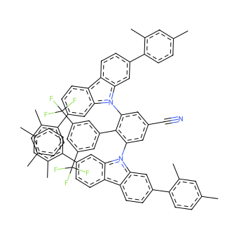 Cc1ccc(-c2ccc3c4ccc(-c5ccc(C)cc5C)cc4n(-c4cc(C#N)cc(-n5c6cc(-c7ccc(C)cc7C)ccc6c6ccc(-c7ccc(C)cc7C)cc65)c4-c4cc(C(F)(F)F)cc(C(F)(F)F)c4)c3c2)c(C)c1